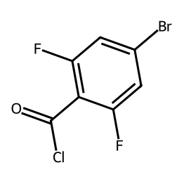 O=C(Cl)c1c(F)cc(Br)cc1F